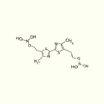 Cc1nc(-c2nc(C)c(CCON(O)O)s2)sc1CCON(O)O